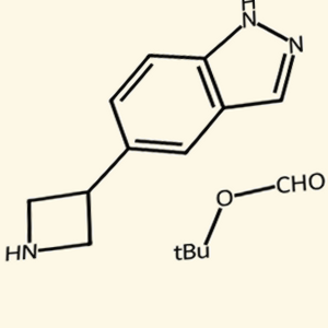 CC(C)(C)OC=O.c1cc2[nH]ncc2cc1C1CNC1